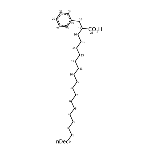 CCCCCCCCCCCCCCCCCCCCCCCCCCC(Cc1ccccc1)C(=O)O